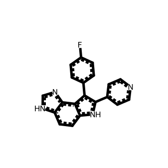 Fc1ccc(-c2c(-c3ccncc3)[nH]c3ccc4[nH]cnc4c23)cc1